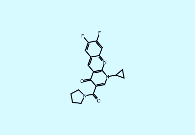 O=C(c1cn(C2CC2)c2nc3cc(F)c(F)cc3cc2c1=O)N1CCCC1